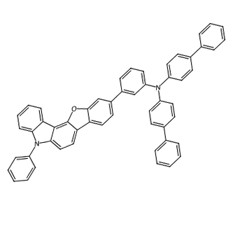 c1ccc(-c2ccc(N(c3ccc(-c4ccccc4)cc3)c3cccc(-c4ccc5c(c4)oc4c5ccc5c4c4ccccc4n5-c4ccccc4)c3)cc2)cc1